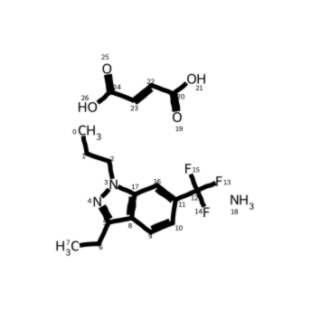 CCCn1nc(CC)c2ccc(C(F)(F)F)cc21.N.O=C(O)C=CC(=O)O